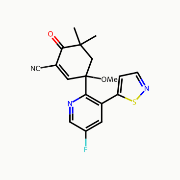 COC1(c2ncc(F)cc2-c2ccns2)C=C(C#N)C(=O)C(C)(C)C1